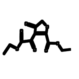 CCOC(=O)C(=O)C1=C(C(=O)OCC)OCC1=O